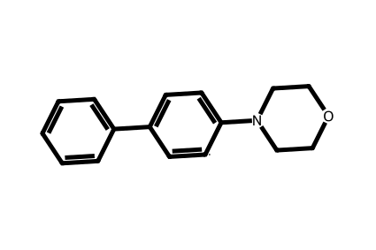 [c]1cc(-c2ccccc2)ccc1N1CCOCC1